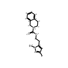 CCn1nc(C)cc1CCOC(=O)N1CCc2ccccc2C1